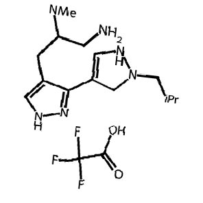 CNC(CN)Cc1c[nH]nc1C1=CNN(CC(C)C)C1.O=C(O)C(F)(F)F